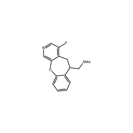 CNCC1Cc2c(F)cncc2Oc2ccccc21